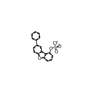 O=S(=O)(Oc1cccc2oc3ccc(-c4ccccc4)cc3c12)C(F)(F)F